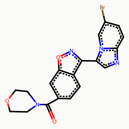 O=C(c1ccc2c(-c3cnc4ccc(Br)cn34)noc2c1)N1CCOCC1